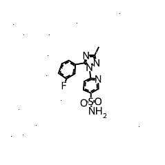 Cc1nc(-c2cccc(F)c2)n(-c2ccc(S(N)(=O)=O)cn2)n1